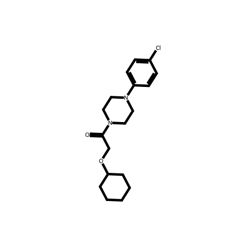 O=C(COC1CCCCC1)N1CCN(c2ccc(Cl)cc2)CC1